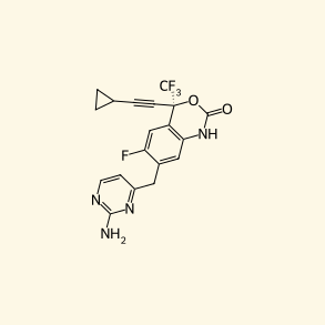 Nc1nccc(Cc2cc3c(cc2F)[C@](C#CC2CC2)(C(F)(F)F)OC(=O)N3)n1